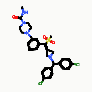 CNC(=O)N1CCN(c2cccc(C(=C3CN(C(c4ccc(Cl)cc4)c4ccc(Cl)cc4)C3)S(C)(=O)=O)c2)CC1